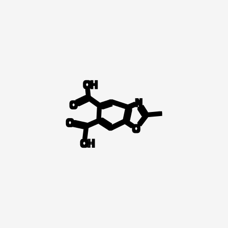 Cc1nc2cc(C(=O)O)c(C(=O)O)cc2o1